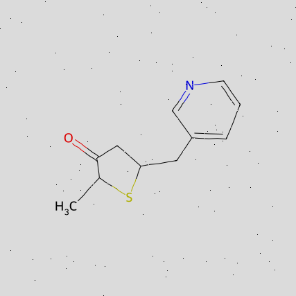 CC1SC(Cc2cccnc2)CC1=O